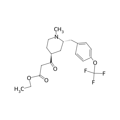 CCOC(=O)CC(=O)[C@H]1CCN(C)[C@H](Cc2ccc(OC(F)(F)F)cc2)C1